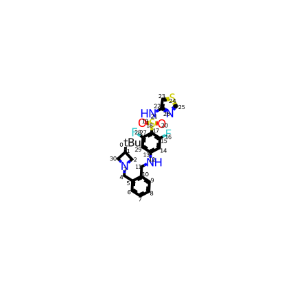 CC(C)(C)C1CN(Cc2ccccc2CNc2cc(F)c(S(=O)(=O)Nc3cscn3)c(F)c2)C1